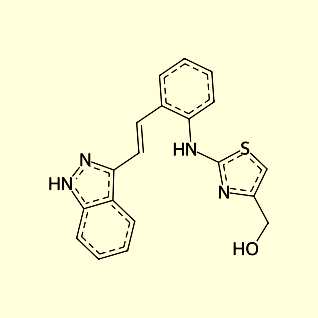 OCc1csc(Nc2ccccc2C=Cc2n[nH]c3ccccc23)n1